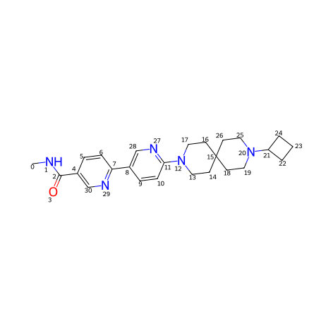 CNC(=O)c1ccc(-c2ccc(N3CCC4(CC3)CCN(C3CCC3)CC4)nc2)nc1